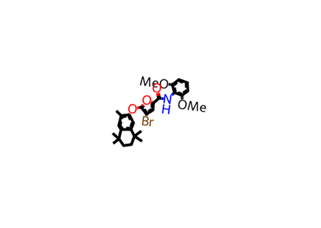 COc1cccc(OC)c1NC(=O)c1cc(Br)c(Oc2cc3c(cc2C)C(C)(C)CCC3(C)C)o1